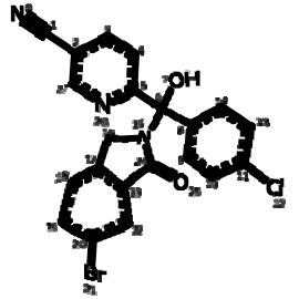 N#Cc1ccc(C(O)(c2ccc(Cl)cc2)N2Cc3ccc(Br)cc3C2=O)nc1